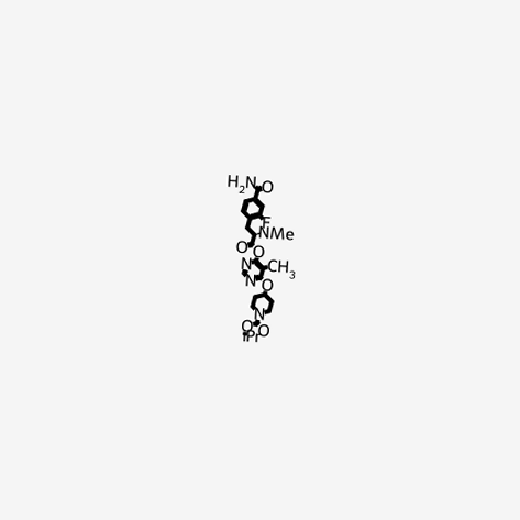 CN[C@@H](Cc1ccc(C(N)=O)cc1F)C(=O)Oc1ncnc(OC2CCN(C(=O)OC(C)C)CC2)c1C